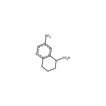 O=C(O)N1CCCc2ncc([N+](=O)[O-])cc21